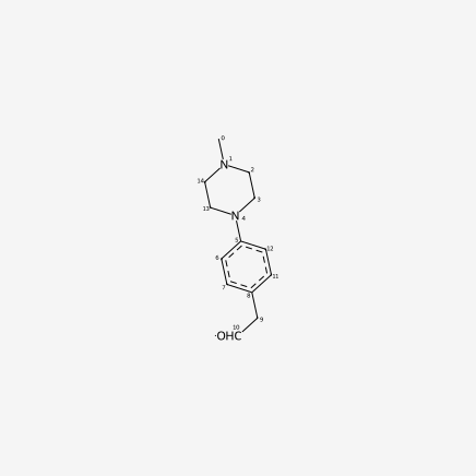 CN1CCN(c2ccc(C[C]=O)cc2)CC1